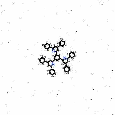 c1ccc(-c2cc(-c3ccccc3)nc(-c3cc(-c4cc(-c5ccccc5)cc(-c5ccccc5)n4)cc(-c4cc(-c5ccccc5)cc(-c5ccccc5)n4)c3)c2)cc1